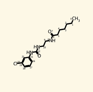 CCCCCCC(=O)NCCNC(=O)Nc1cccc(Cl)c1